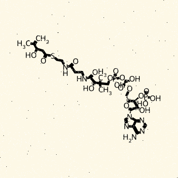 C=C(C)C(O)CC(=O)SCCNC(=O)CCNC(=O)[C@H](O)C(C)(C)COP(=O)(O)OP(=O)(O)OC[C@H]1O[C@@H](n2cnc3c(N)ncnc32)[C@H](O)[C@@H]1OP(=O)(O)O